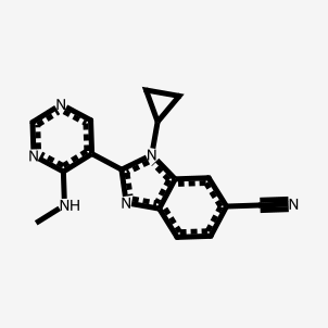 CNc1ncncc1-c1nc2ccc(C#N)cc2n1C1CC1